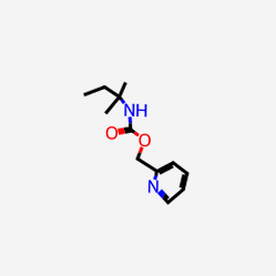 CCC(C)(C)NC(=O)OCc1ccccn1